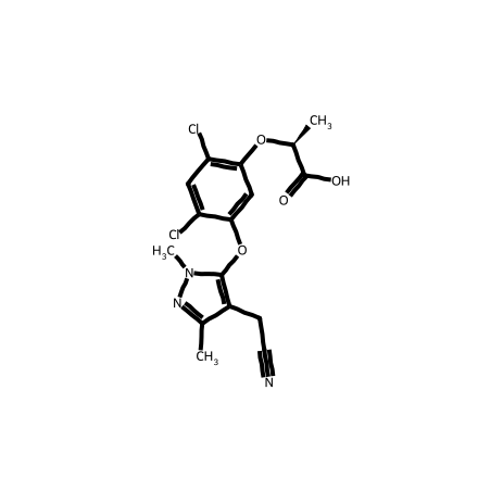 Cc1nn(C)c(Oc2cc(O[C@@H](C)C(=O)O)c(Cl)cc2Cl)c1CC#N